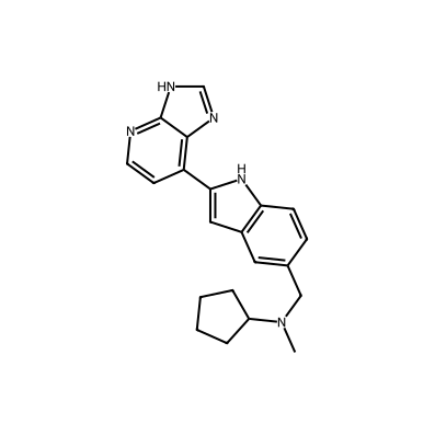 CN(Cc1ccc2[nH]c(-c3ccnc4[nH]cnc34)cc2c1)C1CCCC1